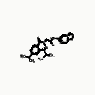 CC(C)c1ccc2c(=O)n(CC(=O)Nc3cn4cnnc4cn3)nc(C(C)C)c2c1